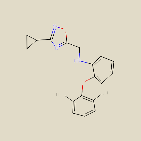 Cc1cccc(C)c1Oc1ccccc1NCc1nc(C2CC2)no1